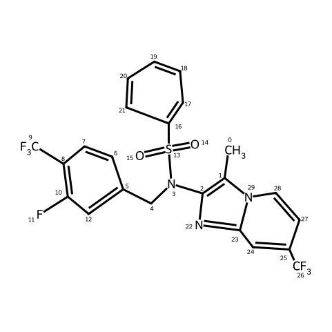 Cc1c(N(Cc2ccc(C(F)(F)F)c(F)c2)S(=O)(=O)c2ccccc2)nc2cc(C(F)(F)F)ccn12